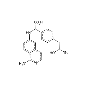 CCC(O)Cc1ccc(C(Nc2ccc3c(N)nccc3c2)C(=O)O)cc1